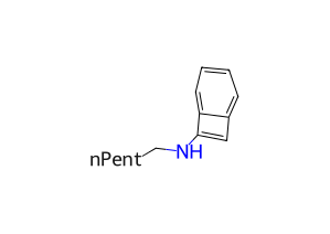 [CH2]CCCCCNC1=Cc2ccccc21